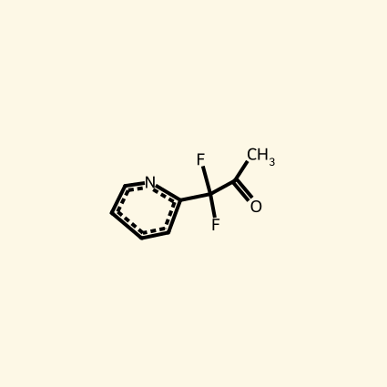 CC(=O)C(F)(F)c1ccccn1